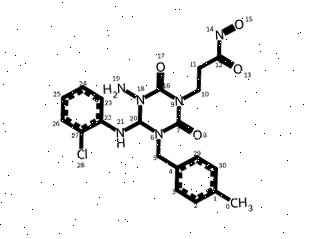 Cc1ccc(CN2C(=O)N(CCC(=O)N=O)C(=O)N(N)C2Nc2ccccc2Cl)cc1